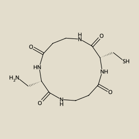 NC[C@@H]1NC(=O)CCNC(=O)[C@H](CS)NC(=O)CCNC1=O